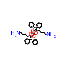 CO[Si](OC)(O[Si](CCCCCN)(c1ccccc1)c1ccccc1)O[Si](CCCCCN)(c1ccccc1)c1ccccc1